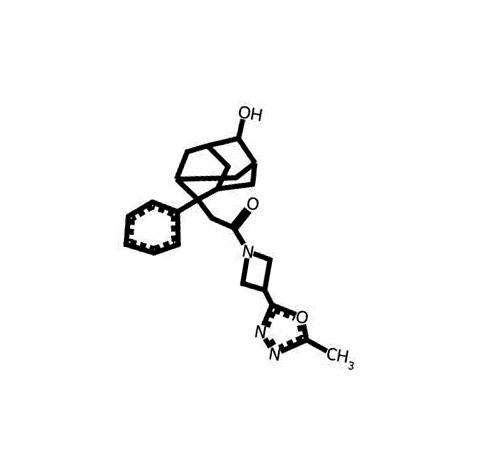 Cc1nnc(C2CN(C(=O)CC3(c4ccccc4)C4CC5CC3CC(C4)C5O)C2)o1